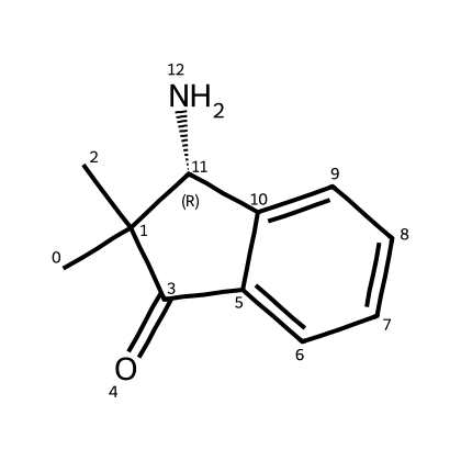 CC1(C)C(=O)c2ccccc2[C@H]1N